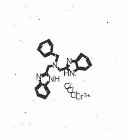 [Cl-].[Cl-].[Cl-].[Cr+3].c1ccc(CN(Cc2nc3ccccc3[nH]2)Cc2nc3ccccc3[nH]2)cc1